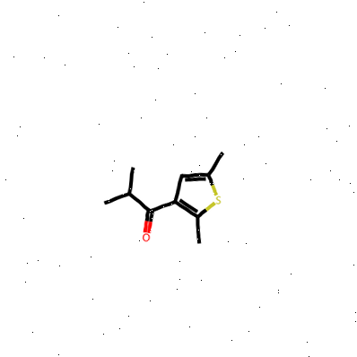 Cc1cc(C(=O)C(C)C)c(C)s1